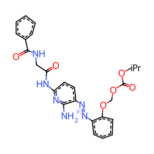 CC(C)OC(=O)OCOc1ccccc1/N=N/c1ccc(NC(=O)CNC(=O)c2ccccc2)nc1N